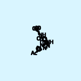 CC(=O)c1ccc(Nc2ncnc3[nH]c4c(c23)CC(C(=O)NCCCS(C)(=O)=O)CC4)cc1